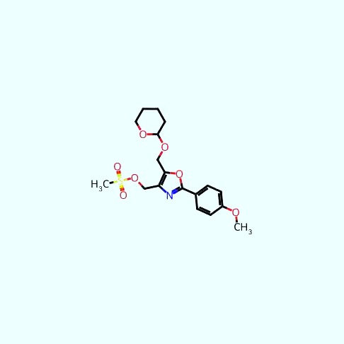 COc1ccc(-c2nc(COS(C)(=O)=O)c(COC3CCCCO3)o2)cc1